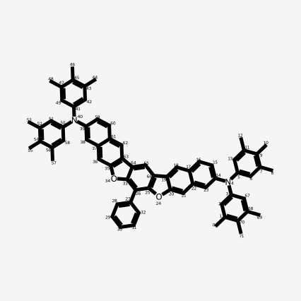 Cc1cc(N(c2cc(C)c(C)c(C)c2)c2ccc3cc4c(cc3c2)oc2c(-c3ccccc3)c3oc5cc6cc(N(c7cc(C)c(C)c(C)c7)c7cc(C)c(C)c(C)c7)ccc6cc5c3cc24)cc(C)c1C